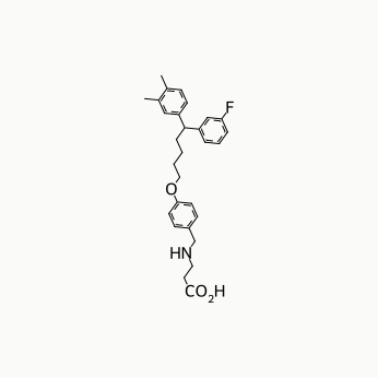 Cc1ccc(C(CCCCOc2ccc(CNCCC(=O)O)cc2)c2cccc(F)c2)cc1C